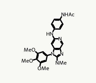 CNc1nc2cnc(Nc3ccc(NC(C)=O)cc3)cc2n1-c1cc(OC)c(OC)c(OC)c1